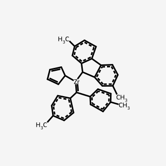 Cc1ccc([C](c2ccc(C)cc2)=[Zr]([CH]2C=CC=C2)[CH]2c3cc(C)ccc3-c3ccc(C)cc32)cc1